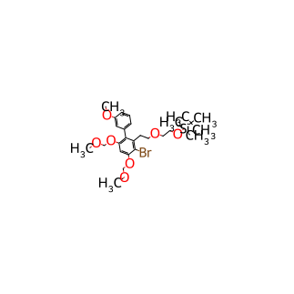 COCOc1cc(OCOC)c(-c2cccc(OC)c2)c(CCOCCO[Si](C)(C)C(C)(C)C)c1Br